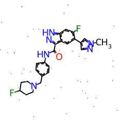 Cn1cc(-c2cc3c(C(=O)Nc4ccc(CN5CCC(F)CC5)cc4)n[nH]c3cc2F)cn1